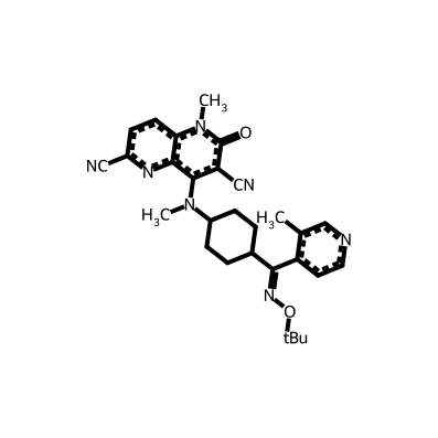 Cc1cnccc1/C(=N\OC(C)(C)C)C1CCC(N(C)c2c(C#N)c(=O)n(C)c3ccc(C#N)nc23)CC1